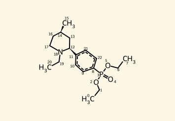 CCOP(=O)(OCC)c1ccc([C@@H]2C[C@H](C)CCN2CC)cc1